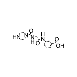 O=C(CNC(=O)N1CCNCC1)Nc1cccc(C(=O)O)c1